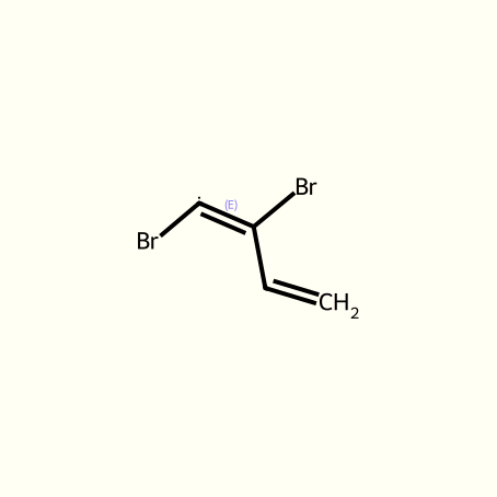 C=C/C(Br)=[C]\Br